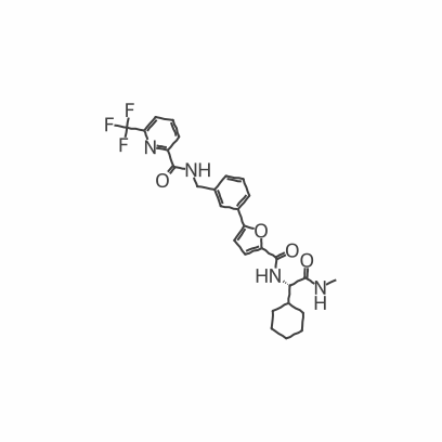 CNC(=O)[C@@H](NC(=O)c1ccc(-c2cccc(CNC(=O)c3cccc(C(F)(F)F)n3)c2)o1)C1CCCCC1